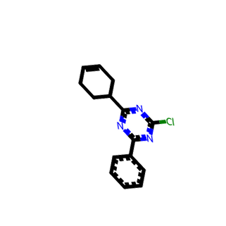 Clc1nc(-c2ccccc2)nc(C2CC=CCC2)n1